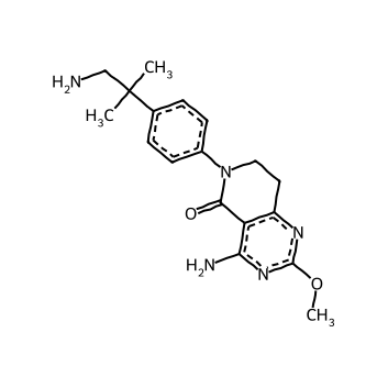 COc1nc(N)c2c(n1)CCN(c1ccc(C(C)(C)CN)cc1)C2=O